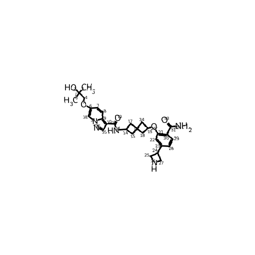 CC(C)(O)COc1ccc2c(C(=O)NC3CC4(C3)CC(Oc3cc(C5CNC5)ccc3C(N)=O)C4)cnn2c1